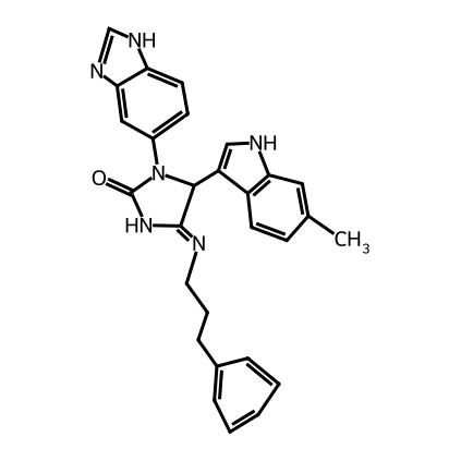 Cc1ccc2c(C3C(=NCCCc4ccccc4)NC(=O)N3c3ccc4[nH]cnc4c3)c[nH]c2c1